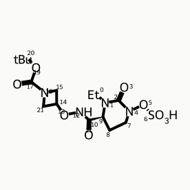 CCN1C(=O)N(OS(=O)(=O)O)CC[C@H]1C(=O)NOC1CN(C(=O)OC(C)(C)C)C1